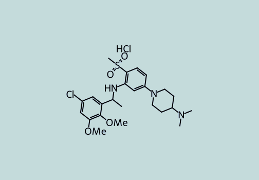 COc1cc(Cl)cc(C(C)Nc2cc(N3CCC(N(C)C)CC3)ccc2S(C)(=O)=O)c1OC.Cl